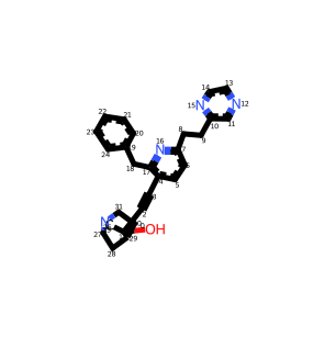 OC1(C#Cc2ccc(CCc3cnccn3)nc2Cc2ccccc2)CN2CCC1CC2